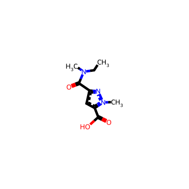 CCN(C)C(=O)c1cc(C(=O)O)n(C)n1